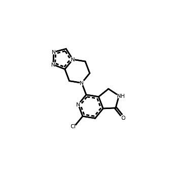 O=C1NCc2c1cc(Cl)nc2N1CCn2cnnc2C1